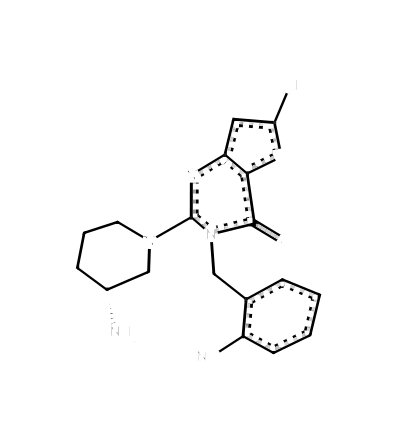 N#Cc1ccccc1Cn1c(N2CCC[C@@H](N)C2)nc2cc(Cl)sc2c1=O